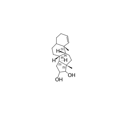 C[C@]12C=CCCC1CC[C@@H]1[C@H]2CC[C@]2(C)C(O)C(O)C[C@@H]12